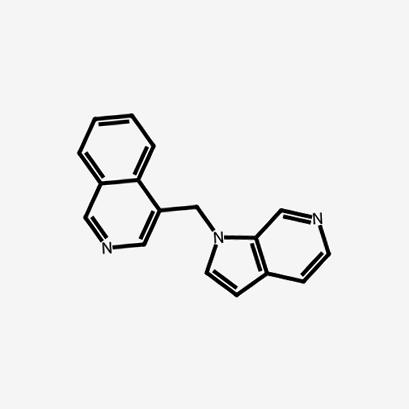 c1ccc2c(Cn3ccc4ccncc43)cncc2c1